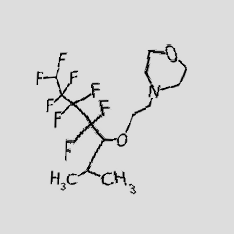 CC(C)C(OCCN1CCOCC1)C(F)(F)C(F)(F)C(F)(F)C(F)F